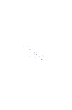 COc1ccc(OC)c2c1CCC2NCc1cc(C)cc(Cl)c1